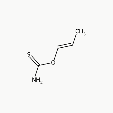 CC=COC(N)=S